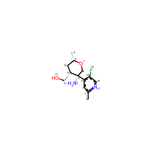 Cc1cc([C@]2(N)CO[C@@H](C)C[C@H]2CO)c(F)cn1